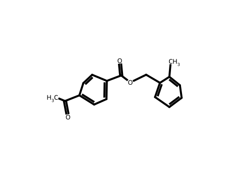 CC(=O)c1ccc(C(=O)OCc2ccccc2C)cc1